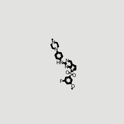 COc1cc(F)cc(S(=O)(=O)n2ccc3cnc(Nc4ccc(N5CCN(C)CC5)cc4)nc32)c1